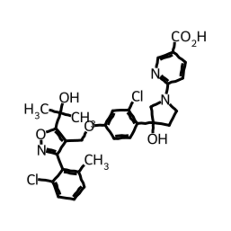 Cc1cccc(Cl)c1-c1noc(C(C)(C)O)c1COc1ccc(C2(O)CCN(c3ccc(C(=O)O)cn3)C2)c(Cl)c1